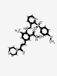 COc1ccc(S(=O)(=O)c2ncccc2CNc2c(C)cc(/C=C/C(=O)N3CCOCC3)cc2C(=O)NO)cc1